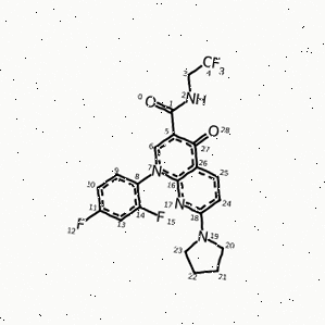 O=C(NCC(F)(F)F)c1cn(-c2ccc(F)cc2F)c2nc(N3CCCC3)ccc2c1=O